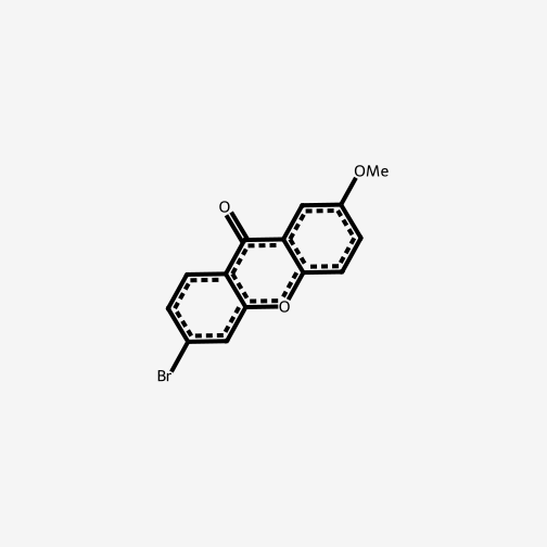 COc1ccc2oc3cc(Br)ccc3c(=O)c2c1